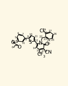 CS(=O)(=O)c1cccc(-c2ccc(-c3cc(C(F)(F)F)c(C#N)c(=O)n3Cc3ccccc3Cl)s2)c1